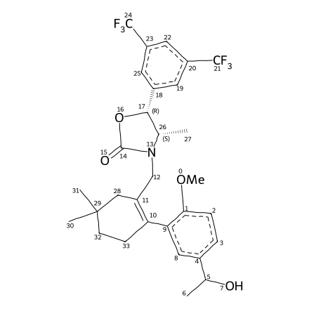 COc1ccc(C(C)O)cc1C1=C(CN2C(=O)O[C@H](c3cc(C(F)(F)F)cc(C(F)(F)F)c3)[C@@H]2C)CC(C)(C)CC1